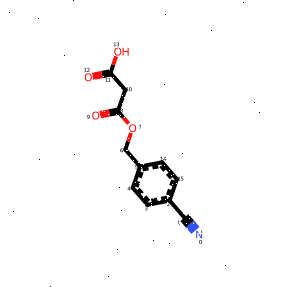 N#Cc1ccc(COC(=O)CC(=O)O)cc1